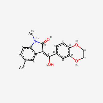 CC(=O)c1ccc2c(c1)C(=C(O)c1ccc3c(c1)OCCO3)C(=O)N2C(C)=O